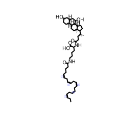 CC/C=C\C/C=C\C/C=C\C/C=C\C/C=C\CCCC(=O)NCCCCC(NC(=O)CC[C@@H](C)C1CC[C@H]2[C@@H]3[C@H](O)C[C@@H]4C[C@H](O)CC[C@]4(C)[C@H]3CC[C@]12C)C(=O)O